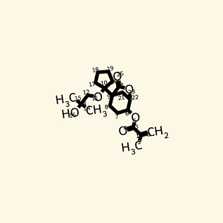 C=C(C)C(=O)OC1CCC2(C3(OCC(C)(C)O)CCCC3)CC1OC2=O